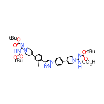 Cc1cc(C2=CCN(/C(=N/C(=O)OC(C)(C)C)NC(=O)OC(C)(C)C)CC2)ccc1-c1cn(-c2ccc(C3=CCN(C(=NC(=O)OC(C)(C)C)NC(=O)O)CC3)cc2)nn1